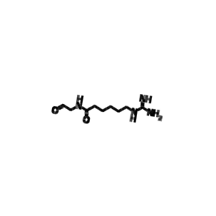 N=C(N)NCCCCCC(=O)NCC=O